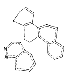 C1=CC2=C(CC1)CCc1c2ccc2ccccc12.c1ccc2nnccc2c1